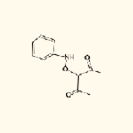 CC(=O)C(ONc1ccccc1)C(C)=O